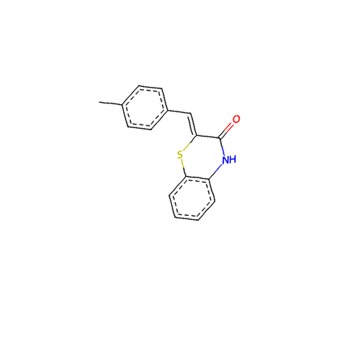 Cc1ccc(C=C2Sc3ccccc3NC2=O)cc1